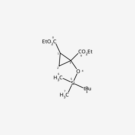 CCOC(=O)C1CC1(O[Si](C)(C)C(C)(C)C)C(=O)OCC